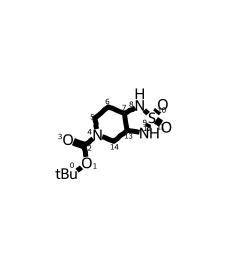 CC(C)(C)OC(=O)N1CCC2NS(=O)(=O)NC2C1